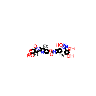 CCc1c2c(nc3ccc(OC(=O)N4Cc5ccc(-n6c(O)nnc6-c6cc(C(C)C)c(O)cc6O)cc5C4)cc13)-c1cc3c(c(=O)n1C2)COC(=O)C3(O)CC